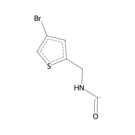 O=[C]NCc1cc(Br)cs1